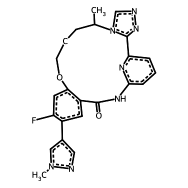 CC1CCCOc2cc(F)c(-c3cnn(C)c3)cc2C(=O)Nc2cccc(n2)-c2nncn21